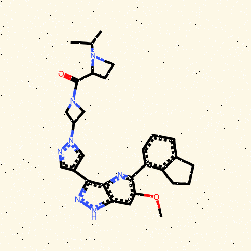 COc1cc2[nH]nc(-c3cnn(C4CN(C(=O)C5CCN5C(C)C)C4)c3)c2nc1-c1cccc2c1CCC2